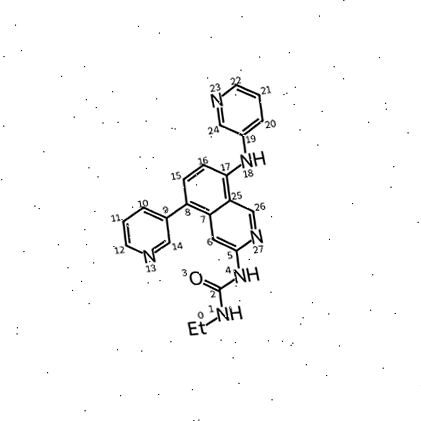 CCNC(=O)Nc1cc2c(-c3cccnc3)ccc(Nc3cccnc3)c2cn1